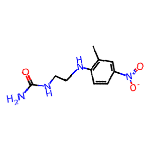 Cc1cc([N+](=O)[O-])ccc1NCCNC(N)=O